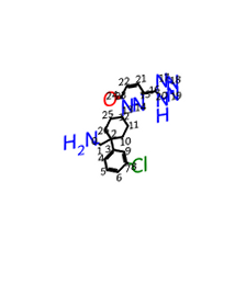 NCC1(c2cccc(Cl)c2)CCC(n2nc(-c3nnn[nH]3)ccc2=O)CC1